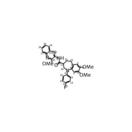 COc1cc2c(cc1OC)N(c1ccc(F)cc1)CC(C(=O)Nc1nc3ccccc3nc1OC)CC2